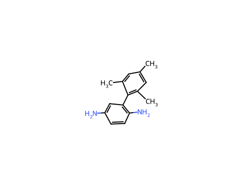 Cc1cc(C)c(-c2cc(N)ccc2N)c(C)c1